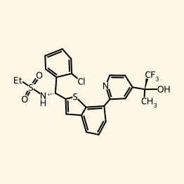 CCS(=O)(=O)N[C@@H](c1cc2cccc(-c3cc([C@@](C)(O)C(F)(F)F)ccn3)c2s1)c1ccccc1Cl